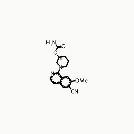 COc1cc2c(N3CCC[C@H](OC(N)=O)C3)nccc2cc1C#N